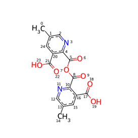 Cc1cnc(C(=O)OC(=O)c2ncc(C)cc2C(=O)O)c(C(=O)O)c1